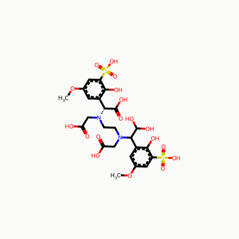 COc1cc(C(C(O)O)N(CCN(CC(=O)O)[C@@H](C(=O)O)c2cc(OC)cc(S(=O)(=O)O)c2O)CC(=O)O)c(O)c(S(=O)(=O)O)c1